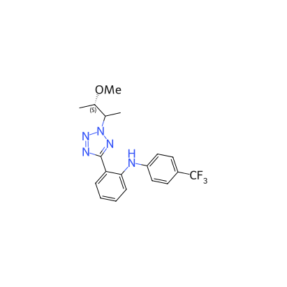 CO[C@@H](C)C(C)n1nnc(-c2ccccc2Nc2ccc(C(F)(F)F)cc2)n1